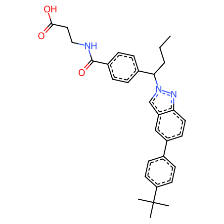 CCCC(c1ccc(C(=O)NCCC(=O)O)cc1)n1cc2cc(-c3ccc(C(C)(C)C)cc3)ccc2n1